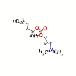 CCCCCCCCCCCCC(CCC)OC(=O)OCCCN(C)C